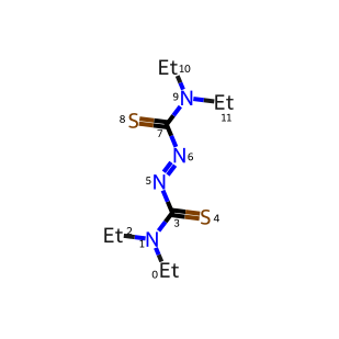 CCN(CC)C(=S)/N=N/C(=S)N(CC)CC